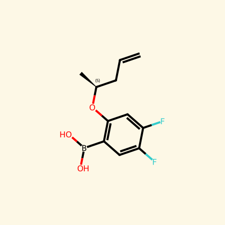 C=CC[C@H](C)Oc1cc(F)c(F)cc1B(O)O